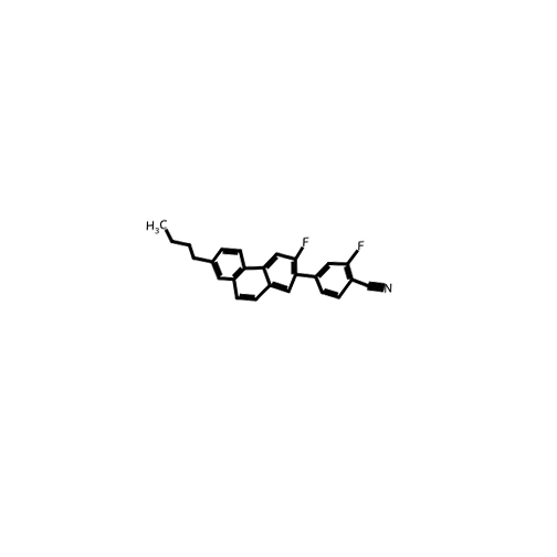 CCCCc1ccc2c(ccc3cc(-c4ccc(C#N)c(F)c4)c(F)cc32)c1